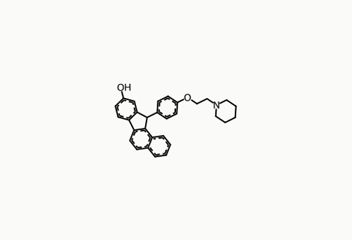 Oc1ccc2c(c1)C(c1ccc(OCCN3CCCCC3)cc1)c1c-2ccc2ccccc12